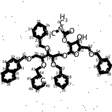 CN(C)C(=O)OC1C(OCC(OCc2ccccc2)C(OCc2ccccc2)C(COCc2ccc3ccccc3c2)OCc2ccccc2)OC(COCc2ccccc2)C1O